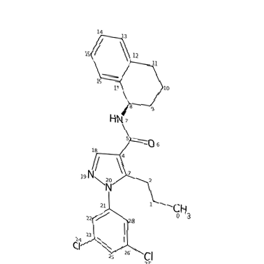 CCCc1c(C(=O)N[C@@H]2CCCc3ccccc32)cnn1-c1cc(Cl)cc(Cl)c1